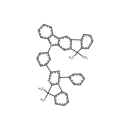 CC1(C)c2ccccc2-c2cc3c4ccccc4n(-c4cccc(-c5nc(-c6ccccc6)c6c(n5)C(C)(C)c5ccccc5-6)c4)c3cc21